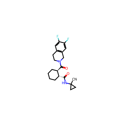 N#CC1(NC(=O)[C@@H]2CCCC[C@H]2C(=O)N2CCc3cc(F)c(F)cc3C2)CC1